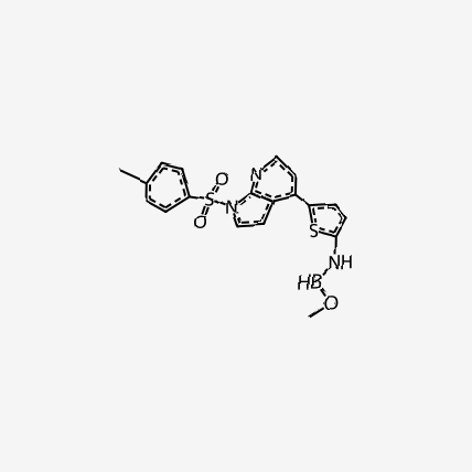 COBNc1ccc(-c2ccnc3c2ccn3S(=O)(=O)c2ccc(C)cc2)s1